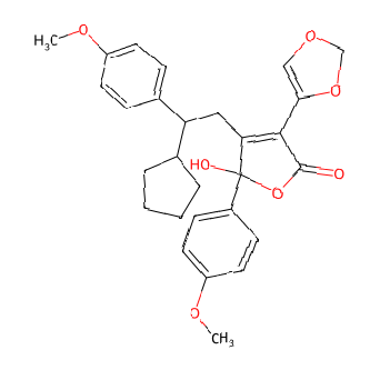 COc1ccc(C(CC2=C(C3=COCO3)C(=O)OC2(O)c2ccc(OC)cc2)C2CCCC2)cc1